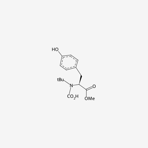 COC(=O)[C@H](Cc1ccc(O)cc1)N(C(=O)O)C(C)(C)C